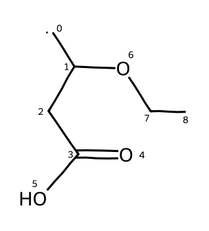 [CH2]C(CC(=O)O)OCC